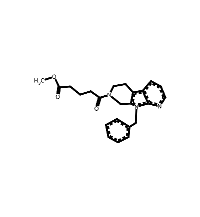 COC(=O)CCCC(=O)N1CCc2c(n(Cc3ccccc3)c3ncccc23)C1